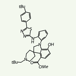 COC(=O)c1ccc(O)c2c1C1(CCN(CC(C)(C)C)CC1)CN2c1ccccc1Nc1nnc(-c2ccc(C(C)(C)C)cc2)s1